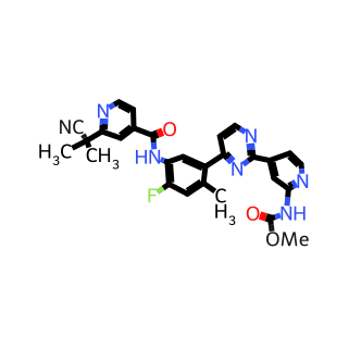 COC(=O)Nc1cc(-c2nccc(-c3cc(NC(=O)c4ccnc(C(C)(C)C#N)c4)c(F)cc3C)n2)ccn1